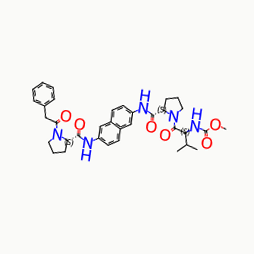 COC(=O)N[C@H](C(=O)N1CCC[C@H]1C(=O)Nc1ccc2cc(NC(=O)[C@@H]3CCCN3C(=O)Cc3ccccc3)ccc2c1)C(C)C